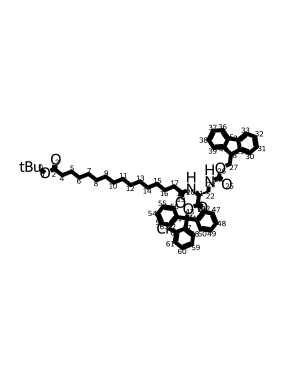 CC(C)(C)OC(=O)CCCCCCCCCCCCCCC(=O)N[C@@H](CNC(=O)OCC1c2ccccc2-c2ccccc21)C(=O)OC(c1ccccc1)(c1ccccc1)c1ccccc1Cl